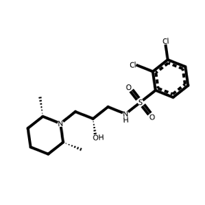 C[C@@H]1CCC[C@H](C)N1C[C@@H](O)CNS(=O)(=O)c1cccc(Cl)c1Cl